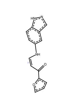 O=C(/C=C\Nc1ccc2[nH]ncc2c1)c1ccco1